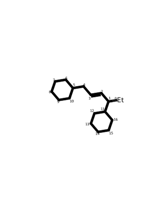 CCC(C=CCC1CCCCC1)C1CCCCC1